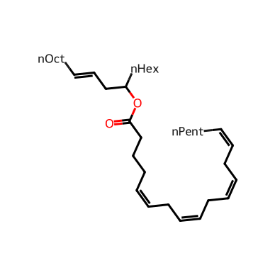 CCCCC/C=C\C/C=C\C/C=C\C/C=C\CCCC(=O)OC(CC=CCCCCCCCC)CCCCCC